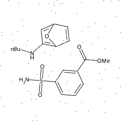 CCCCNc1cc2ccc1o2.COC(=O)c1cccc(S(N)(=O)=O)c1